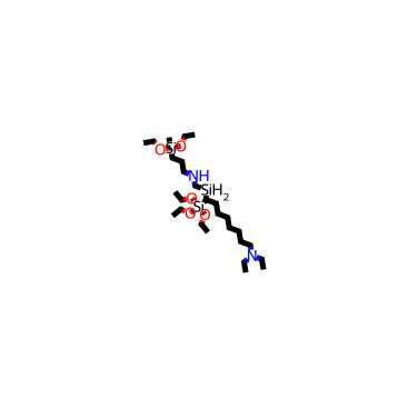 CCO[Si](C)(CCCNC[SiH2]C(CCCCCCCN(CC)CC)[Si](OCC)(OCC)OCC)OCC